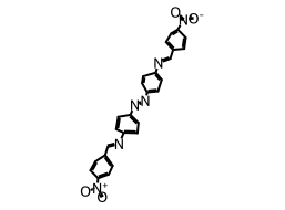 O=[N+]([O-])c1ccc(C=Nc2ccc(N=Nc3ccc(N=Cc4ccc([N+](=O)[O-])cc4)cc3)cc2)cc1